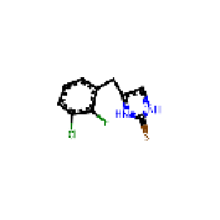 Fc1c(Cl)cccc1Cc1c[nH]c(=S)[nH]1